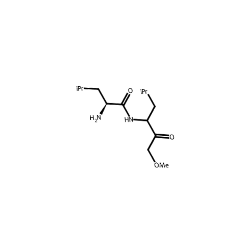 COCC(=O)C(CC(C)C)NC(=O)[C@@H](N)CC(C)C